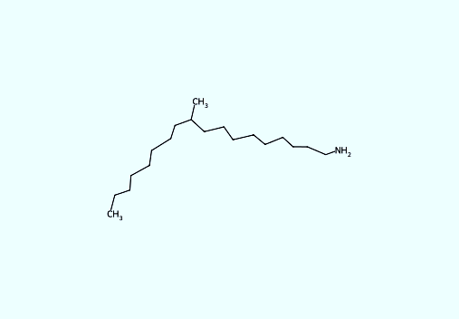 CCCCCCCCC(C)CCCCCCCCCN